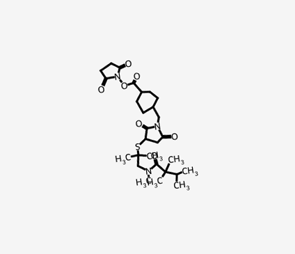 CC(C)C(C)(C)C(=O)N(C)CC(C)(C)SC1CC(=O)N(CC2CCC(C(=O)ON3C(=O)CCC3=O)CC2)C1=O